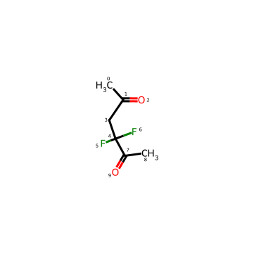 CC(=O)CC(F)(F)C(C)=O